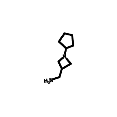 NCC1CN(C2CCCC2)C1